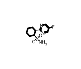 NS(=O)(=O)[C@H]1CCCC[C@@H]1c1ncc(F)cn1